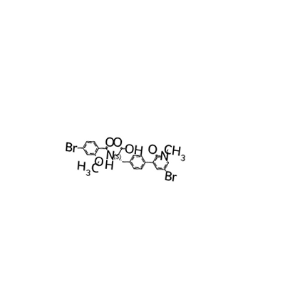 COc1cc(Br)ccc1C(=O)N[C@@H](Cc1ccc(-c2cc(Br)cn(C)c2=O)cc1)C(=O)O